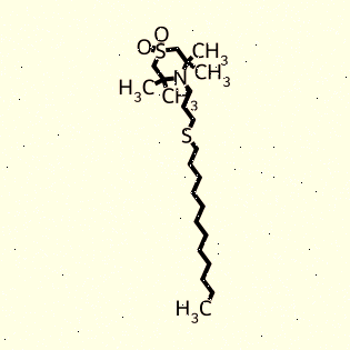 CCCCCCCCCCCCSCCCN1C(C)(C)CS(=O)(=O)CC1(C)C